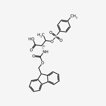 Cc1ccc(S(=O)(=O)OC(C)[C@H](NC(=O)OCC2c3ccccc3-c3ccccc32)C(=O)O)cc1